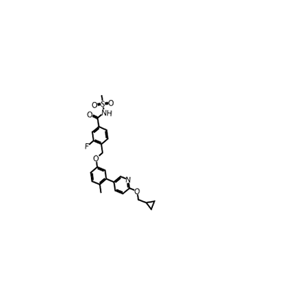 Cc1ccc(OCc2ccc(C(=O)NS(C)(=O)=O)cc2F)cc1-c1ccc(OCC2CC2)nc1